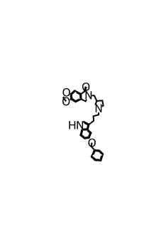 O=C1c2cc3c(cc2CN1CC1CCN(CCCc2c[nH]c4ccc(OCc5ccccc5)cc24)C1)OCO3